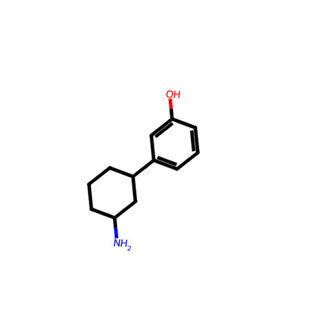 NC1CCCC(c2cccc(O)c2)C1